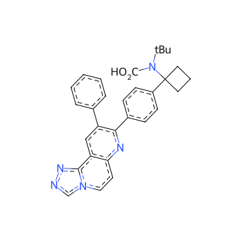 CC(C)(C)N(C(=O)O)C1(c2ccc(-c3nc4ccn5cnnc5c4cc3-c3ccccc3)cc2)CCC1